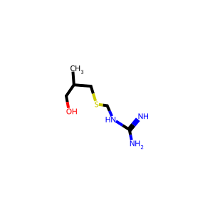 CC(CO)CSCNC(=N)N